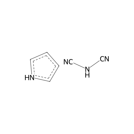 N#CNC#N.c1cc[nH]c1